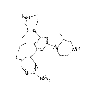 CC1CNCCN1c1cc2c(c(N3CCNCC3C)c1)CCCc1cnc(N)nc1-2